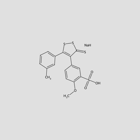 COc1ccc(-c2c(-c3cccc(C)c3)ssc2=S)cc1S(=O)(=O)O.[NaH]